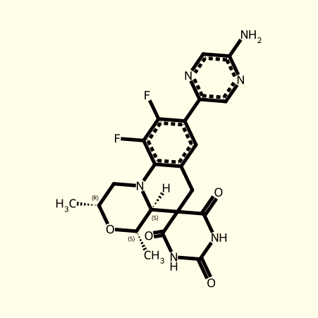 C[C@@H]1CN2c3c(cc(-c4cnc(N)cn4)c(F)c3F)CC3(C(=O)NC(=O)NC3=O)[C@H]2[C@H](C)O1